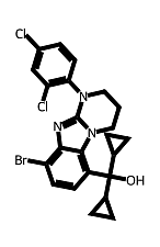 OC(c1ccc(Br)c2nc3n(c12)CCCN3c1ccc(Cl)cc1Cl)(C1CC1)C1CC1